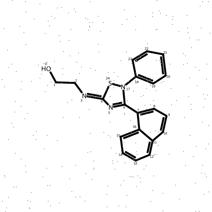 OCC/N=c1/nc(-c2cccc3ccccc23)n(-c2ccccc2)s1